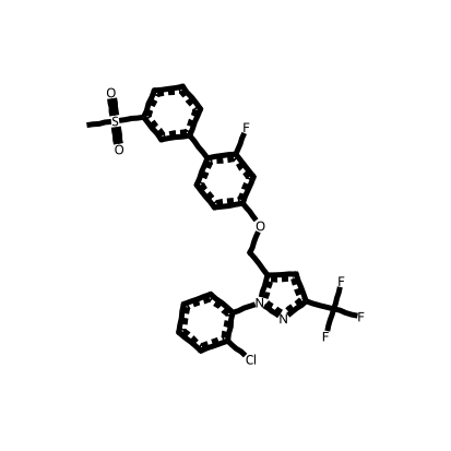 CS(=O)(=O)c1cccc(-c2ccc(OCc3cc(C(F)(F)F)nn3-c3ccccc3Cl)cc2F)c1